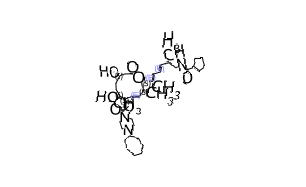 C/C(=C\C=C\C(C)CNC(=O)C1CCCC1)[C@H]1OC(=O)C[C@@H](O)CC[C@](C)(O)[C@@H](OC(=O)N2CCN(C3CCCCCC3)CC2)/C=C/[C@@H]1C